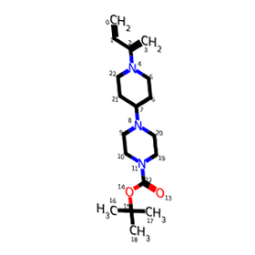 C=CC(=C)N1CCC(N2CCN(C(=O)OC(C)(C)C)CC2)CC1